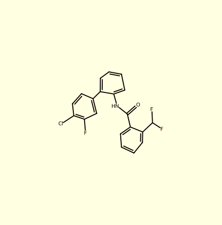 O=C(Nc1ccccc1-c1ccc(Cl)c(F)c1)c1ccccc1C(F)F